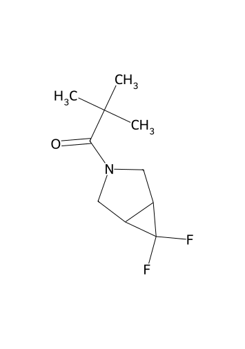 CC(C)(C)C(=O)N1CC2C(C1)C2(F)F